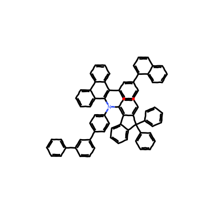 c1ccc(-c2cccc(-c3ccc(N(c4cccc5c4-c4ccccc4C5(c4ccccc4)c4ccccc4)c4c(-c5cccc(-c6cccc7ccccc67)c5)c5ccccc5c5ccccc45)cc3)c2)cc1